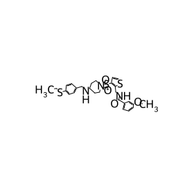 CCSc1ccc(CNC2CCN(S(=O)(=O)c3ccsc3CNC(=O)c3cccc(OC)c3)CC2)cc1